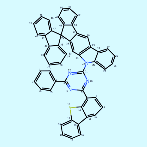 c1ccc(-c2nc(-c3cccc4c3sc3ccccc34)nc(-n3c4ccccc4c4cc5c(cc43)C3(c4ccccc4-c4ccccc43)c3ccccc3-5)n2)cc1